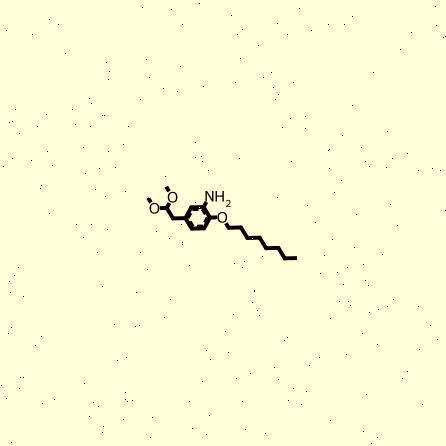 CCCCCCCCOc1ccc(CC(OC)OC)cc1N